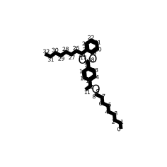 CCCCCCCCCOC(C)c1ccc(C(=O)Oc2ccccc2CCCCCCCC)cc1